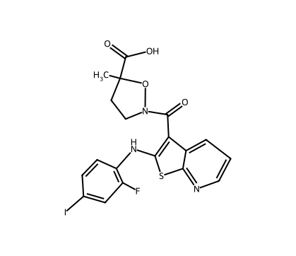 CC1(C(=O)O)CCN(C(=O)c2c(Nc3ccc(I)cc3F)sc3ncccc23)O1